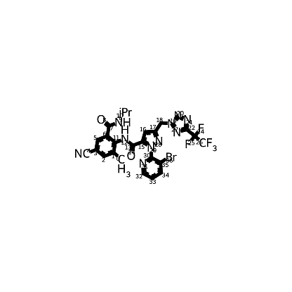 Cc1cc(C#N)cc(C(=O)NC(C)C)c1NC(=O)c1cc(Cn2nnc(C(F)(F)C(F)(F)F)n2)nn1-c1ncccc1Br